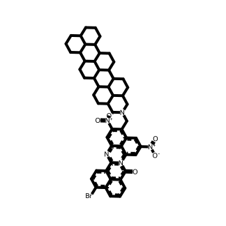 O=c1c2cccc3c(Br)ccc(c32)c2nc3cc([N+](=O)[O-])c(CN4CC5CCC6C7CCC8C9CCCC%10CCCC(C%11CCC(C%12CCC(C4)C5C6%12)C7C8%11)C%109)c4cc([N+](=O)[O-])cc(c34)n12